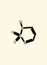 CCN1C=CC=NS1(=O)=O